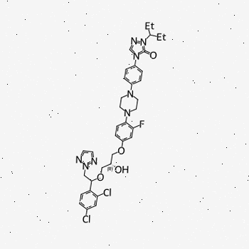 CCC(CC)n1ncn(-c2ccc(N3CCN(c4ccc(OC[C@H](O)COC(Cn5nccn5)c5ccc(Cl)cc5Cl)cc4F)CC3)cc2)c1=O